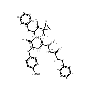 COc1ccc(C[C@H](NC(=O)C(C)NC(=O)OCc2ccccc2)C(=O)NC(Cc2ccccc2)C(=O)C2(C)CO2)cc1